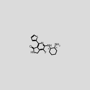 N[C@H]1CCCC[C@H]1Nc1nc(-c2cccs2)c2c(c1F)CNC2=O